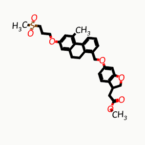 COC(=O)CC1COc2cc(OCc3cccc4c3CCc3cc(OCCCS(C)(=O)=O)cc(C)c3-4)ccc21